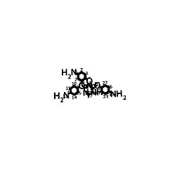 Nc1ccc(On2p(Oc3ccc(N)cc3)np[nH]p2Oc2ccc(N)cc2)cc1